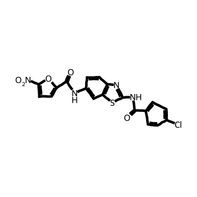 O=C(Nc1nc2ccc(NC(=O)c3ccc([N+](=O)[O-])o3)cc2s1)c1ccc(Cl)cc1